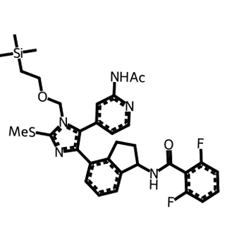 CSc1nc(-c2cccc3c2CCC3NC(=O)c2c(F)cccc2F)c(-c2ccnc(NC(C)=O)c2)n1COCC[Si](C)(C)C